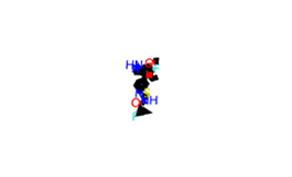 CCOc1c(F)c(CC)c(-c2ccc3nc(NC(=O)[C@@H]4C[C@@H]4F)sc3c2)c2cn[nH]c12